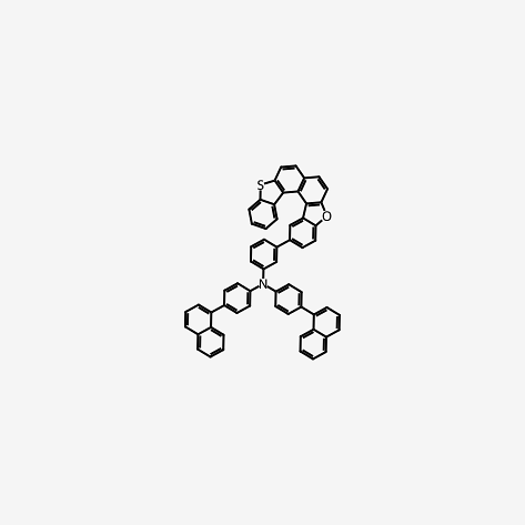 c1cc(-c2ccc3oc4ccc5ccc6sc7ccccc7c6c5c4c3c2)cc(N(c2ccc(-c3cccc4ccccc34)cc2)c2ccc(-c3cccc4ccccc34)cc2)c1